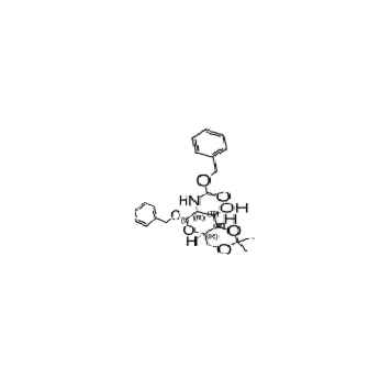 CC1(C)OC[C@H]2O[C@H](OCc3ccccc3)[C@H](NC(=O)OCc3ccccc3)[C@@H](O)[C@@H]2O1